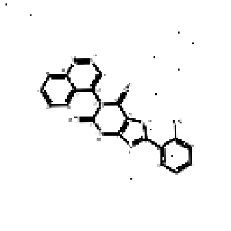 N#Cc1ccccc1-c1nc2[nH]c(=O)n(-c3cncc4ccccc34)c(=O)c2s1